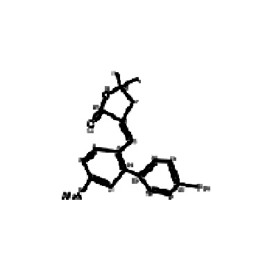 CSc1ccc(C=C2CC(C)(C)OC2=O)c(-c2ccc(F)cc2)c1